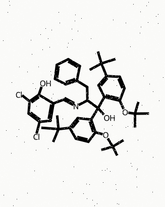 CC(C)(C)Oc1ccc(C(C)(C)C)cc1C(O)(c1cc(C(C)(C)C)ccc1OC(C)(C)C)C(Cc1ccccc1)N=Cc1cc(Cl)cc(Cl)c1O